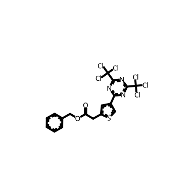 O=C(Cc1cc(-c2nc(C(Cl)(Cl)Cl)nc(C(Cl)(Cl)Cl)n2)cs1)OCc1ccccc1